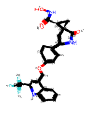 O=C(NO)[C@H]1C[C@@]12CC(c1ccc(OCc3cc(C(F)(F)F)nc4ccccc34)cc1)NC2=O